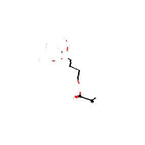 C=C(C)C(=O)OCCCC[Si](C)(OC)OC